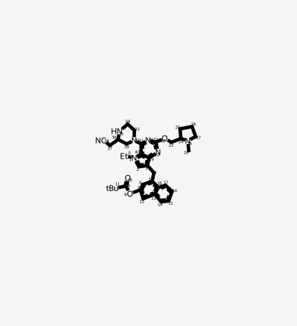 CCn1cc(Cc2cc(OC(=O)C(C)(C)C)cc3ccccc23)c2nc(OCC3CCCN3C)nc(N3CCNC(CC#N)C3)c21